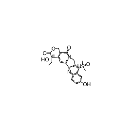 CC[C@@]1(O)C(=O)OCc2c1cc1n(c2=O)Cc2c-1nc1ccc(O)cc1c2[SH](C)(C)=O